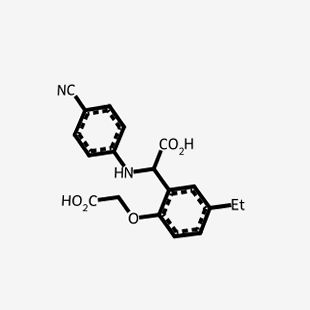 CCc1ccc(OCC(=O)O)c(C(Nc2ccc(C#N)cc2)C(=O)O)c1